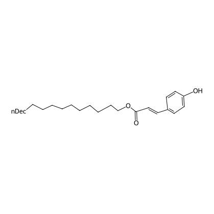 CCCCCCCCCCCCCCCCCCCCOC(=O)/C=C/c1ccc(O)cc1